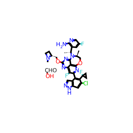 C[C@H](c1cc(F)cnc1N)N1c2nc(OC[C@H]3CCN3C)nc3c(F)c(-c4c(C5(F)CC5)c(Cl)cc5[nH]ncc45)nc(c23)OC[C@@H]1C.O=CO